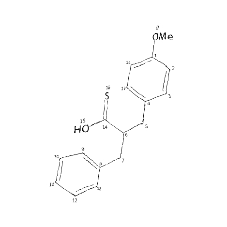 COc1ccc(CC(Cc2ccccc2)C(O)=S)cc1